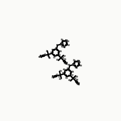 CC(C)(C#N)c1cc(Cn2cncn2)cc(C(C)(C)C#N)c1.CC(C)(C#N)c1cc(Cn2cncn2)cc(C(C)(C)C#N)c1